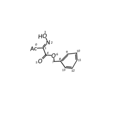 CC(=O)C(=NO)C(=O)OCc1ccccc1